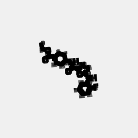 CCOC(=O)N1CCC(NC(=O)c2nnc(Nc3ccccc3F)o2)CC1